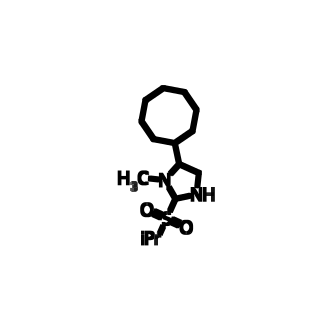 CC(C)S(=O)(=O)C1NCC(C2CCCCCCC2)N1C